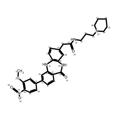 COc1cc(-c2ccc3c(c2)Nc2ccc(CC(=O)NCCCN4CCCCC4)cc2NC3=O)ccc1[N+](=O)[O-]